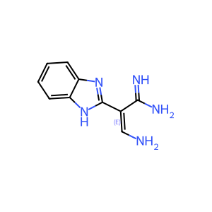 N=C(N)/C(=C\N)c1nc2ccccc2[nH]1